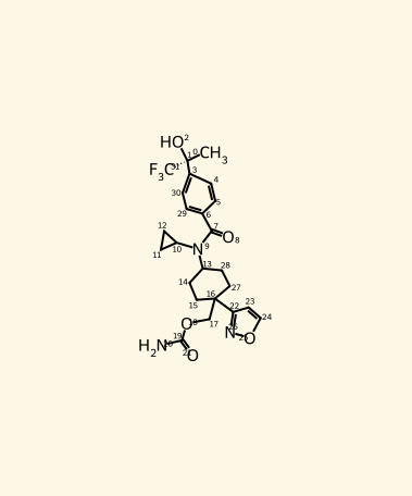 C[C@](O)(c1ccc(C(=O)N(C2CC2)C2CCC(COC(N)=O)(c3ccon3)CC2)cc1)C(F)(F)F